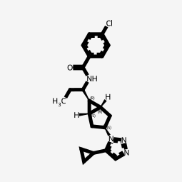 CCC(NC(=O)c1ccc(Cl)cc1)[C@H]1[C@@H]2C[C@@H](n3nncc3C3CC3)C[C@@H]21